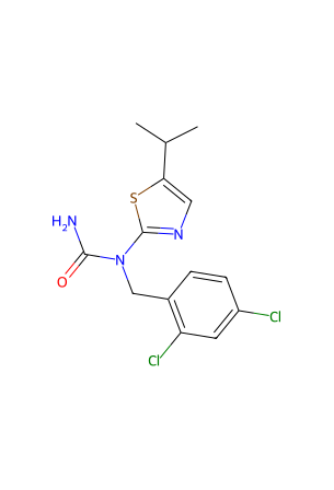 CC(C)c1cnc(N(Cc2ccc(Cl)cc2Cl)C(N)=O)s1